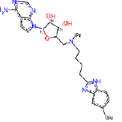 CC(C)N(CCCCc1nc2cc(C(C)(C)C)ccc2[nH]1)CC1O[C@@H](n2ccc3c(N)ncnc32)[C@H](O)[C@@H]1O